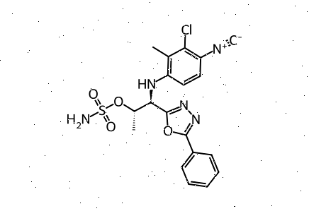 [C-]#[N+]c1ccc(N[C@@H](c2nnc(-c3ccccc3)o2)[C@H](C)OS(N)(=O)=O)c(C)c1Cl